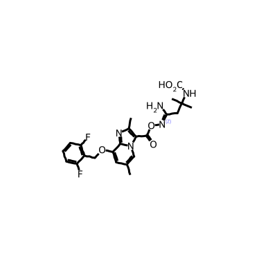 Cc1cc(OCc2c(F)cccc2F)c2nc(C)c(C(=O)O/N=C(\N)CC(C)(C)NC(=O)O)n2c1